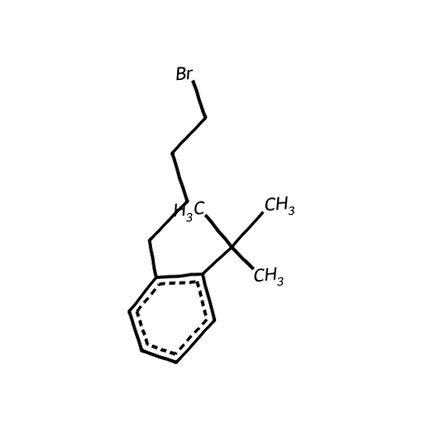 CC(C)(C)c1ccccc1CCCCBr